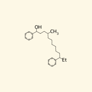 CCC(CCCCCCC(C)CCC(O)c1ccccc1)c1ccccc1